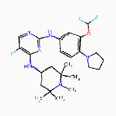 CN1C(C)(C)CC(Nc2nc(Nc3ccc(N4CCCC4)c(OC(F)F)c3)ncc2F)CC1(C)C